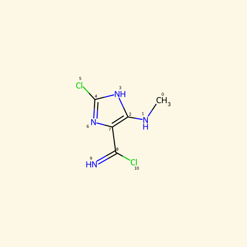 CNc1[nH]c(Cl)nc1C(=N)Cl